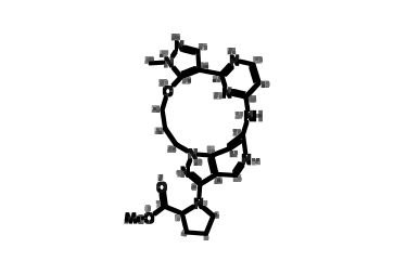 COC(=O)C1CCCN1c1nn2c3cc(ncc13)Nc1ccnc(n1)-c1cnn(C)c1OCCC2